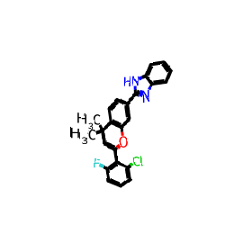 CC1(C)C=C(c2c(F)cccc2Cl)Oc2cc(-c3nc4ccccc4[nH]3)ccc21